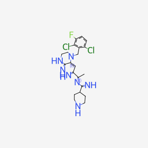 C/C(=N\C(=N)C1CCNCC1)C(=N)/C=C1\C(=N)NCCN1Cc1c(Cl)ccc(F)c1Cl